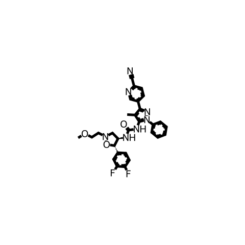 COCCN1C[C@@H](NC(=O)Nc2c(C)c(-c3ccc(C#N)nc3)nn2-c2ccccc2)[C@H](c2ccc(F)c(F)c2)O1